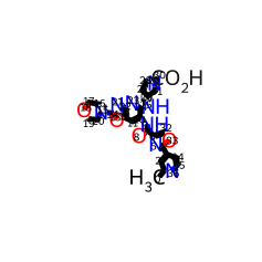 Cc1cc(-c2nc(C(=O)Nc3cc4oc(N5CCOCC5)nc4nc3N[C@H]3CCN(C(=O)O)C3)co2)ccn1